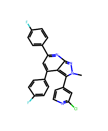 Cn1nc2nc(-c3ccc(F)cc3)cc(-c3ccc(F)cc3)c2c1-c1ccnc(Cl)c1